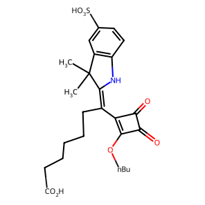 CCCCOc1c(C(CCCCCC(=O)O)=C2Nc3ccc(S(=O)(=O)O)cc3C2(C)C)c(=O)c1=O